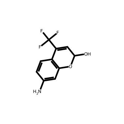 Nc1ccc2c(c1)OC(O)C=C2C(F)(F)F